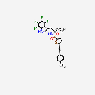 O=C(O)[C@H](Cc1c[nH]c2c(F)c(F)c(F)c(F)c12)NS(=O)(=O)c1ccc(C#Cc2ccc(C(F)(F)F)cc2)s1